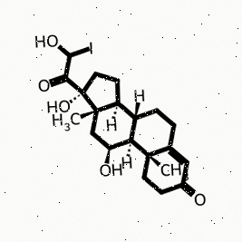 C[C@]12CCC(=O)C=C1CC[C@@H]1[C@@H]2[C@@H](O)C[C@@]2(C)[C@H]1CC[C@]2(O)C(=O)C(O)I